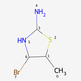 CC1SC(N)NC1Br